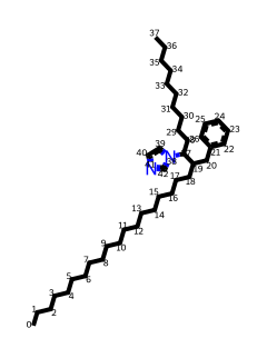 CCCCCCCCCCCCCCCCCCCC(Cc1ccccc1)C(CCCCCCCCCC)n1ccnc1